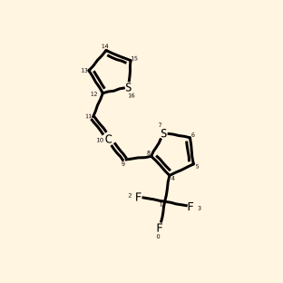 FC(F)(F)c1ccsc1C=C=Cc1cccs1